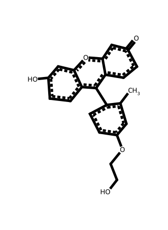 Cc1cc(OCCO)ccc1-c1c2ccc(=O)cc-2oc2cc(O)ccc12